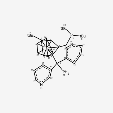 CC(C)(C)P(C[C]12[CH]3[C]4(C(C)(C)C)[CH]5[C]1(C(P)(c1cccnc1)c1cccnc1)[Fe]35241678[CH]2[CH]1[CH]6[CH]7[CH]28)C(C)(C)C